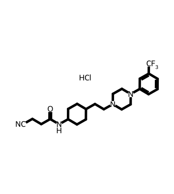 Cl.N#CCCC(=O)NC1CCC(CCN2CCN(c3cccc(C(F)(F)F)c3)CC2)CC1